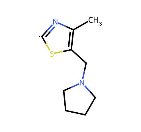 Cc1n[c]sc1CN1CCCC1